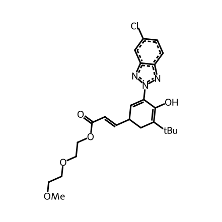 COCCOCCOC(=O)C=CC1C=C(n2nc3ccc(Cl)cc3n2)C(O)=C(C(C)(C)C)C1